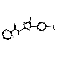 COc1ccc(-c2nc(NC(=O)c3ccccn3)sc2C)cc1